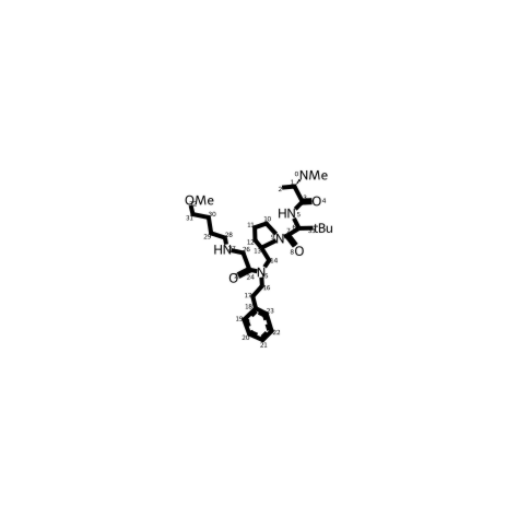 CN[C@@H](C)C(=O)NC(C(=O)N1CCCC1CN(CCc1ccccc1)C(=O)CNCCCCOC)C(C)(C)C